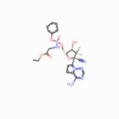 CCOC(=O)CNP(=O)(OC[C@H]1O[C@@](C#N)(c2ccc3c(N)ncnn23)[C@](C)(F)[C@@H]1O)Oc1ccccc1